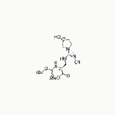 COC(=O)[C@H](CN/C(=N\C#N)N1CC[C@H](O)C1)NC(=O)OC(C)(C)C